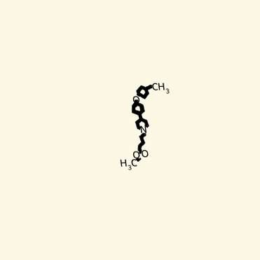 CCOC(=O)CCCCN1CCC(c2ccc(OC3CCC(CC)CC3)cc2)CC1